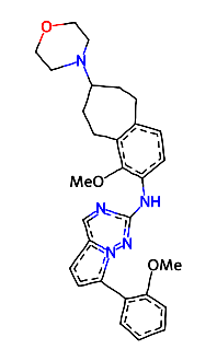 COc1ccccc1-c1ccc2cnc(Nc3ccc4c(c3OC)CCC(N3CCOCC3)CC4)nn12